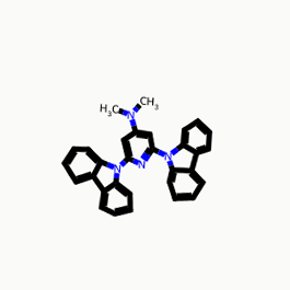 CN(C)c1cc(-n2c3ccccc3c3ccccc32)nc(-n2c3ccccc3c3ccccc32)c1